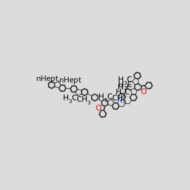 CCCCCCCC1(CCCCCCC)c2ccccc2-c2ccc(-c3ccc4c(c3)C(C)(C)c3cc(-c5ccc(-c6cc7c(c8c6oc6ccccc68)-c6ccc(CC(Cc8ccc9c(c8)C(C)(C)c8c%10c(c%11c(oc%12ccccc%12%11)c8-9)-c8ccccc8C%10(C)C)c8ccccn8)cc6C7(C)C)cc5)ccc3-4)cc21